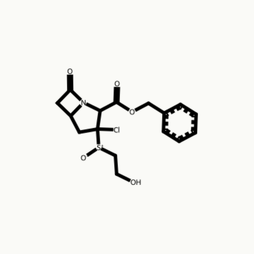 O=C(OCc1ccccc1)C1N2C(=O)CC2CC1(Cl)[S+]([O-])CCO